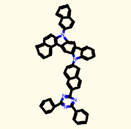 c1ccc(-c2nc(-c3ccccc3)nc(-c3ccc4cc(-n5c6ccccc6c6cc7c(cc65)c5c6ccccc6ccc5n7-c5ccc6ccccc6c5)ccc4c3)n2)cc1